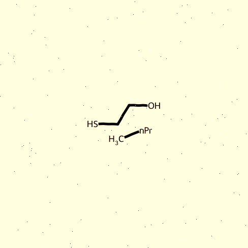 CCCC.OCCS